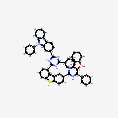 c1ccc(-c2nc(-c3ccc4c5ccccc5n(-c5ccccc5)c4c3)nc(-c3cccc4sc5ccc(-c6nc(-c7ccccc7)c7oc8ccccc8c7n6)cc5c34)n2)cc1